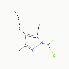 CCCc1c(C)nn(C(F)F)c1C